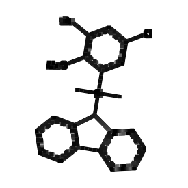 COc1c(C(C)(C)C)cc(Cl)cc1[Si](C)(C)C1c2ccccc2-c2ccccc21